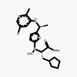 CNC(=O)[C@H](CC1CCCC1)N(C=O)c1ccc([C@H](C)Nc2cc(Cl)cnc2C)s1